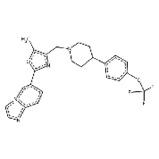 Cc1oc(-c2ccc3nccn3c2)nc1CN1CCC(c2ccc(OC(F)(F)F)cc2)CC1